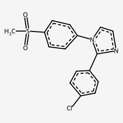 CS(=O)(=O)c1ccc(-n2ccnc2-c2ccc(Cl)cc2)cc1